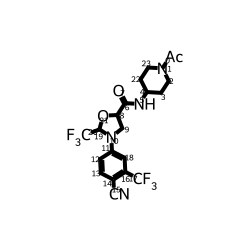 CC(=O)N1CCC(NC(=O)C2CN(c3ccc(C#N)c(C(F)(F)F)c3)C(C(F)(F)F)O2)CC1